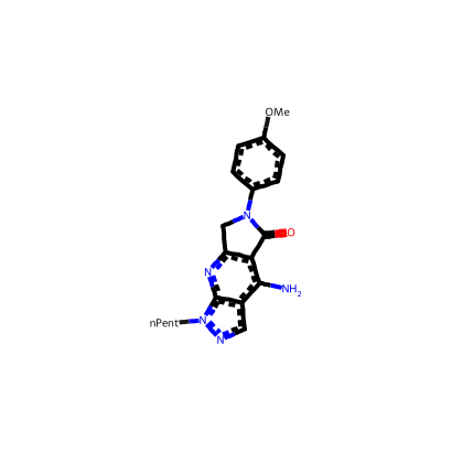 CCCCCn1ncc2c(N)c3c(nc21)CN(c1ccc(OC)cc1)C3=O